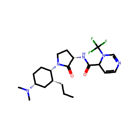 CCC[C@@H]1C[C@H](N(C)C)CC[C@@H]1N1CC[C@H](NC(=O)C2C=CN=CN2C(F)(F)F)C1=O